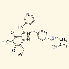 C/C=C\C(=C/C)c1ccc(Cn2nc3c(c2Nc2cccnc2)c(=O)n(C)c(=O)n3CC(C)C)cc1